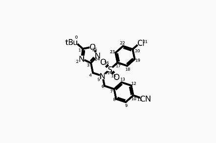 CC(C)(C)c1nc(CN(Cc2ccc(C#N)cc2)S(=O)(=O)c2ccc(Cl)cc2)no1